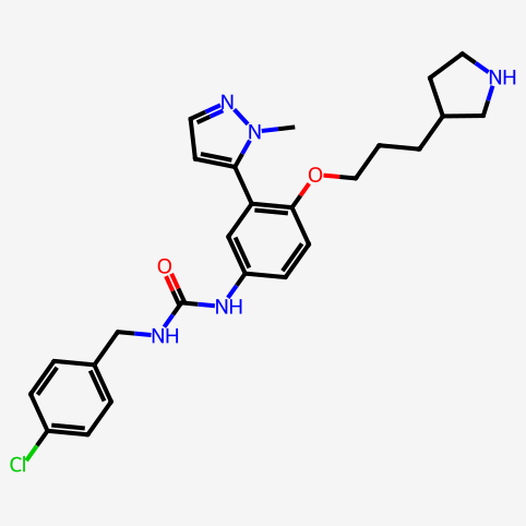 Cn1nccc1-c1cc(NC(=O)NCc2ccc(Cl)cc2)ccc1OCCCC1CCNC1